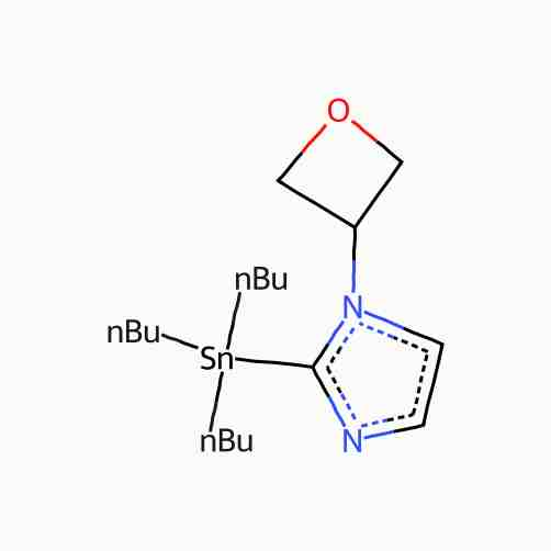 CCC[CH2][Sn]([CH2]CCC)([CH2]CCC)[c]1nccn1C1COC1